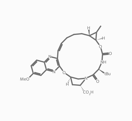 COc1ccc2nc3c(nc2c1)O[C@@H]1C[C@@H](C(=O)O)N(C1)C(=O)[C@H](C(C)(C)C)NC(=O)O[C@@H]1C(C)[C@H]1CCCC=C3